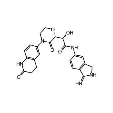 N=C1NCc2cc(NC(=O)[C@H](O)[C@H]3OCCN(c4ccc5c(c4)CCC(=O)N5)C3=O)ccc21